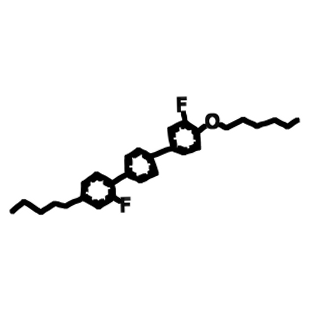 CCCCCCOc1ccc(-c2ccc(-c3ccc(CCCCC)cc3F)cc2)cc1F